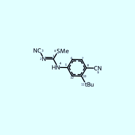 CS/C(=N\C#N)Nc1ccc(C#N)c(C(C)(C)C)c1